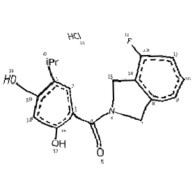 CC(C)c1cc(C(=O)N2Cc3cccc(F)c3C2)c(O)cc1O.Cl